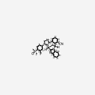 CP(C)(=O)c1ccc(N2CN=C3c4cccc(C#N)c4[C@H]4C[C@H](c5nc6ccccc6n54)N32)cc1F